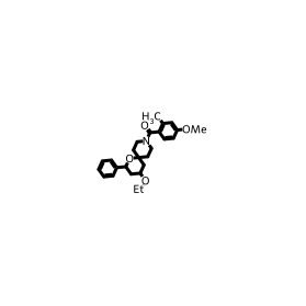 CCOC1CC(c2ccccc2)OC2(CCN(C(=O)c3ccc(OC)cc3C)CC2)C1